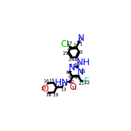 N#Cc1cc(Nc2ncc(C(=O)NCC3CCOCC3)c(CF)n2)ccc1Cl